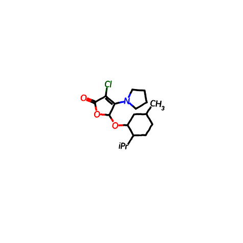 CC1CCC(C(C)C)C(OC2OC(=O)C(Cl)=C2N2CCCC2)C1